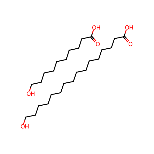 O=C(O)CCCCCCCCCCCCCCCO.O=C(O)CCCCCCCCCO